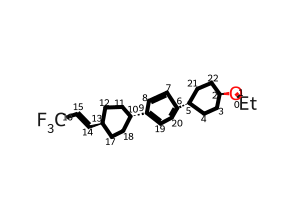 CCO[C@H]1CC[C@H](c2ccc([C@H]3CC[C@H](/C=C/C(F)(F)F)CC3)cc2)CC1